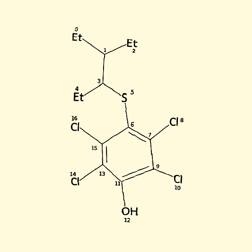 CCC(CC)C(CC)Sc1c(Cl)c(Cl)c(O)c(Cl)c1Cl